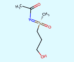 CC(=O)N=[S@@](C)(=O)CCCO